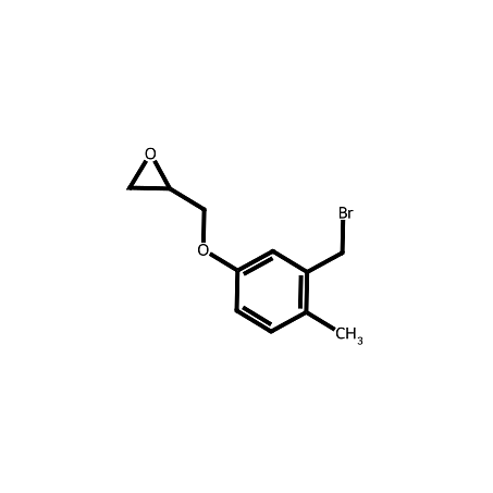 Cc1ccc(OCC2CO2)cc1CBr